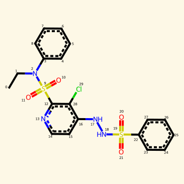 CCN(c1ccccc1)S(=O)(=O)c1nccc(NNS(=O)(=O)c2ccccc2)c1Cl